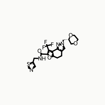 O=C(NCc1cncs1)c1oc2c(c1C(F)(F)F)-c1nn(C[C@H]3COCCO3)cc1CC2